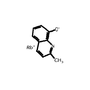 Cc1ccc2cccc([O-])c2n1.[Rb+]